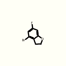 Fc1cc(Br)c2c(c1)OCC2